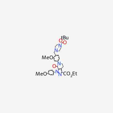 CCOC(=O)c1nn(-c2ccc(OC)cc2)c2c1CCN(c1ccc(CN3CCN(C(=O)OC(C)(C)C)CC3)c(OC)c1)C2=O